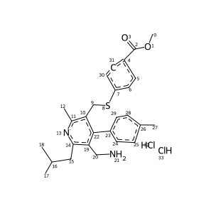 COC(=O)c1ccc(SCc2c(C)nc(CC(C)C)c(CN)c2-c2ccc(C)cc2)cc1.Cl.Cl